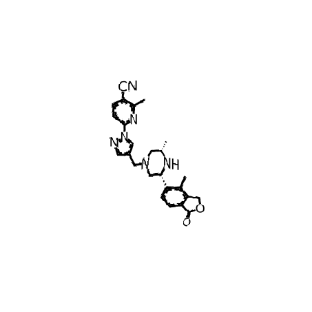 Cc1nc(-n2cc(CN3C[C@@H](c4ccc5c(c4C)COC5=O)N[C@@H](C)C3)cn2)ccc1C#N